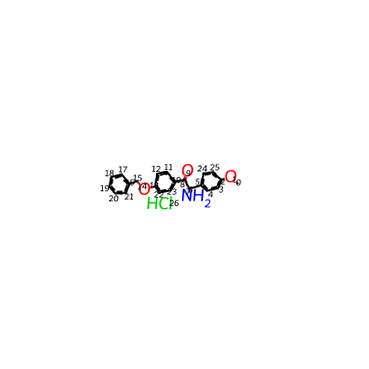 COc1ccc(C(N)C(=O)c2ccc(OCc3ccccc3)cc2)cc1.Cl